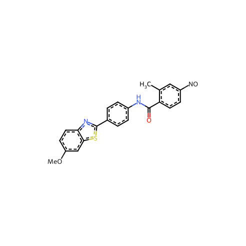 COc1ccc2nc(-c3ccc(NC(=O)c4ccc(N=O)cc4C)cc3)sc2c1